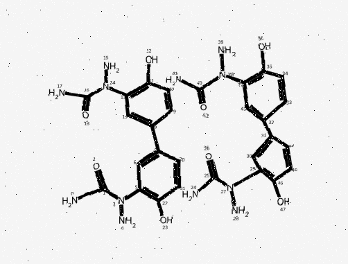 NC(=O)N(N)c1cc(-c2ccc(O)c(N(N)C(N)=O)c2)ccc1O.NC(=O)N(N)c1cc(-c2ccc(O)c(N(N)C(N)=O)c2)ccc1O